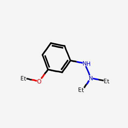 CCOc1cccc(NN(CC)CC)c1